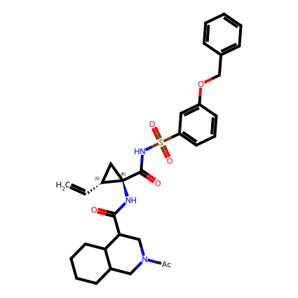 C=C[C@@H]1C[C@]1(NC(=O)C1CN(C(C)=O)CC2CCCCC21)C(=O)NS(=O)(=O)c1cccc(OCc2ccccc2)c1